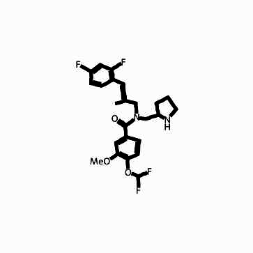 COc1cc(C(=O)N(C/C(C)=C/c2ccc(F)cc2F)CC2CCCN2)ccc1OC(F)F